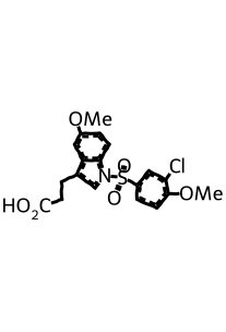 COc1ccc2c(c1)c(CCC(=O)O)cn2S(=O)(=O)c1ccc(OC)c(Cl)c1